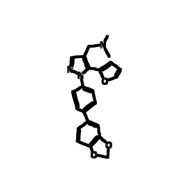 CN(C)Cc1cnn(-c2ccc(-c3ccc4c(c3)OCO4)cc2)c1-c1ccco1